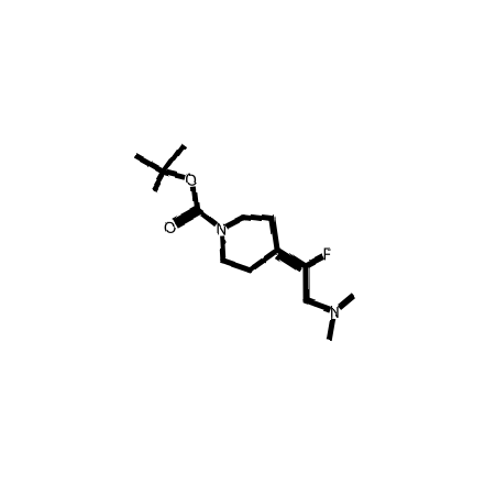 CN(C)CC(F)=C1CCN(C(=O)OC(C)(C)C)CC1